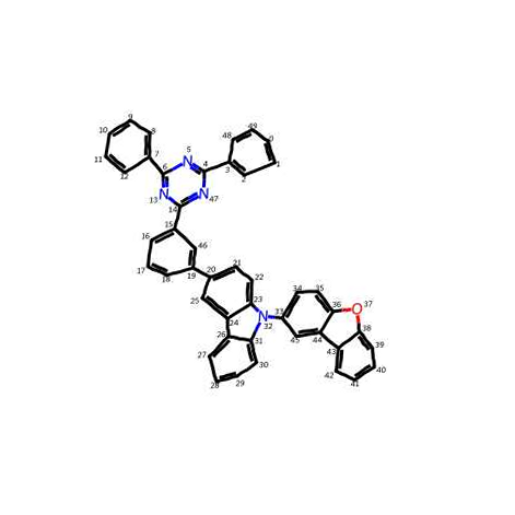 c1ccc(-c2nc(-c3ccccc3)nc(-c3cccc(-c4ccc5c(c4)c4ccccc4n5-c4ccc5oc6ccccc6c5c4)c3)n2)cc1